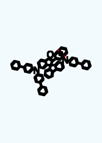 c1ccc(-c2ccc(N(c3ccccc3)c3ccc4c(c3)C3(c5ccccc5-4)c4cc(N(c5ccc(-c6ccccc6)cc5)c5ccc(-c6ccccc6)cc5)ccc4-c4oc5ccccc5c43)cc2)cc1